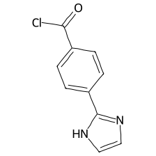 O=C(Cl)c1ccc(-c2ncc[nH]2)cc1